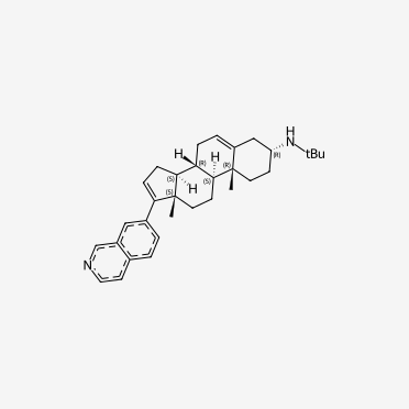 CC(C)(C)N[C@@H]1CC[C@@]2(C)C(=CC[C@@H]3[C@@H]2CC[C@]2(C)C(c4ccc5ccncc5c4)=CC[C@@H]32)C1